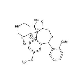 COc1ccccc1C1OCC(=O)[N@@+](CC(C)(C)C)([C@@]2(C(=O)O)CCNC[C@@H]2C(C)=O)c2ccc(OC(F)(F)F)cc21